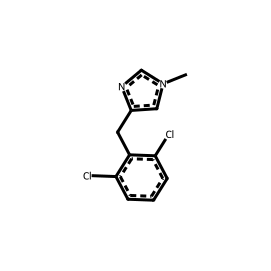 Cn1cnc(Cc2c(Cl)cccc2Cl)c1